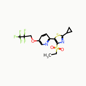 CCS(=O)(=O)c1nc(C2CC2)sc1-c1ccc(OCC(F)(F)C(F)(F)F)cn1